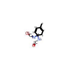 CC1=CCC(N=C=O)(N=C=O)C=C1